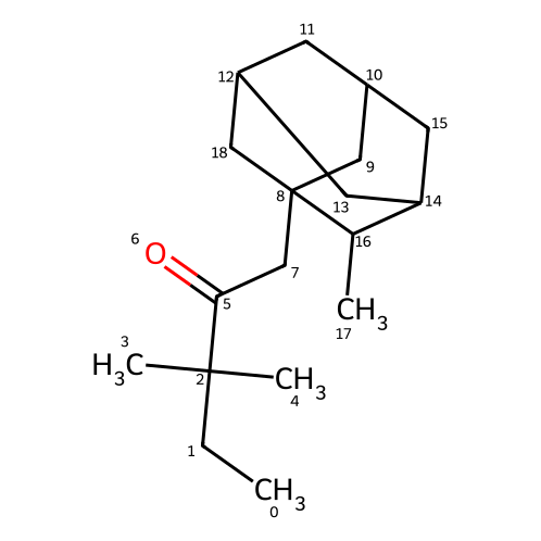 CCC(C)(C)C(=O)CC12CC3CC(CC(C3)C1C)C2